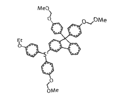 CCOc1ccc([S+](c2ccc(OCOC)cc2)c2ccc3c(c2)-c2ccccc2C3(c2ccc(OCOC)cc2)c2ccc(OCOC)cc2)cc1